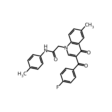 Cc1ccc(NC(=O)Cn2cc(C(=O)c3ccc(F)cc3)c(=O)c3cc(C)ccc32)cc1